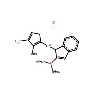 CCCCCCP(CCCCCC)C1=Cc2ccccc2[CH]1[Hf+2][C]1=C(CCCC)C(C)=CC1.[Cl-].[Cl-]